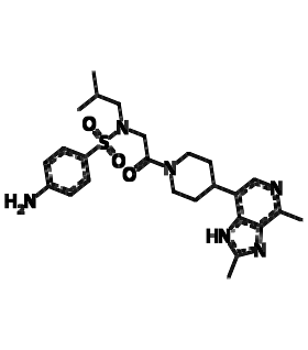 Cc1nc2c(C)ncc(C3CCN(C(=O)CN(CC(C)C)S(=O)(=O)c4ccc(N)cc4)CC3)c2[nH]1